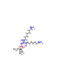 CC(C)(C)OC(=O)N=C(NCCCCCCN)NCCCCCCCN